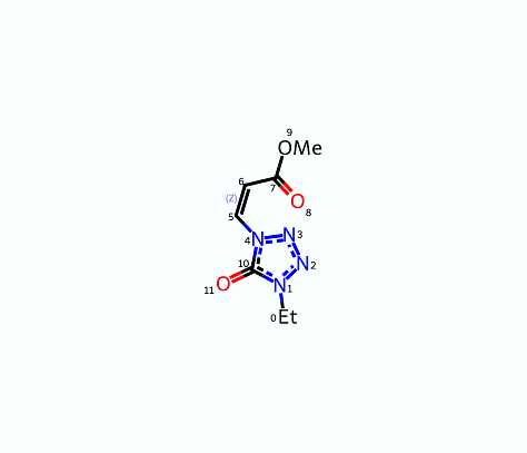 CCn1nnn(/C=C\C(=O)OC)c1=O